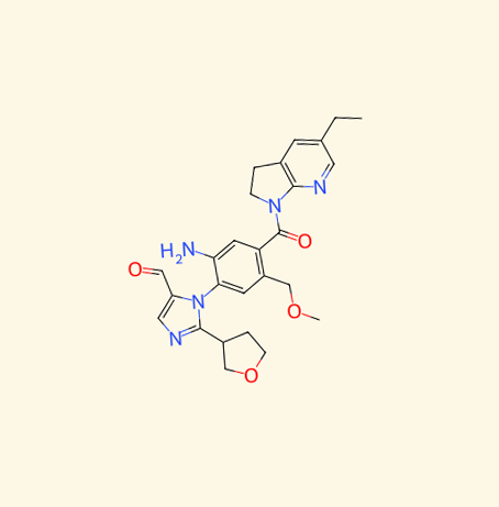 CCc1cnc2c(c1)CCN2C(=O)c1cc(N)c(-n2c(C=O)cnc2C2CCOC2)cc1COC